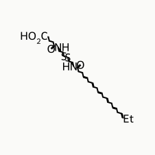 CCC=CCC=CCC=CCC=CCC=CCC=CCCC(=O)NCCSSCCNC(=O)CCCC(=O)O